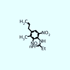 C=CCc1cc([N+](=O)[O-])c(NC(CC)CCC)c([N+](=O)[O-])c1C